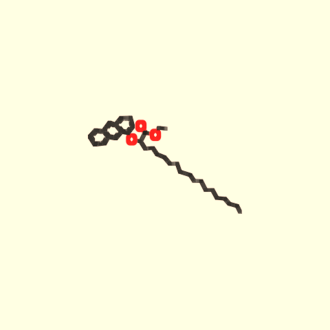 CCCCCCCCCCCCCCCCCC(Oc1cccc2cc3ccccc3cc12)C(=O)OCC